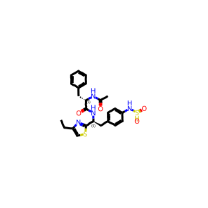 CCc1csc([C@H](Cc2ccc(N[SH](=O)=O)cc2)NC(=O)[C@H](Cc2ccccc2)NC(C)=O)n1